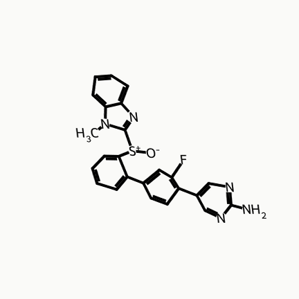 Cn1c([S+]([O-])c2ccccc2-c2ccc(-c3cnc(N)nc3)c(F)c2)nc2ccccc21